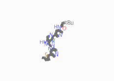 Cc1ccc(-c2cncc3[nH]c(-c4n[nH]c5cnc(-c6cncc(NC(=O)CC(C)(C)C)c6)c(F)c45)nc23)s1